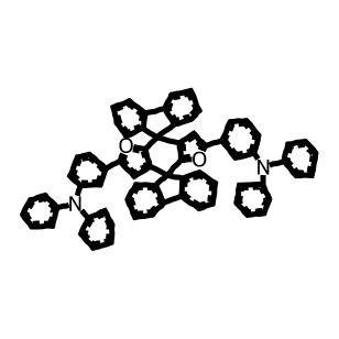 c1ccc(N(c2ccccc2)c2cccc(-c3cc4c(o3)C3(c5ccccc5-c5ccccc53)c3cc(-c5cccc(N(c6ccccc6)c6ccccc6)c5)oc3C43c4ccccc4-c4ccccc43)c2)cc1